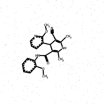 COc1ccccc1NC(=O)C1=C(C)NC(C)=C(C#N)C1c1cccnc1OC